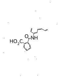 C=C/C=C\C=C(/C=C)NC(=O)c1ccccc1C(=O)O